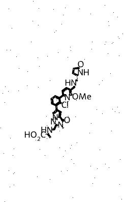 COc1nc(-c2cccc(-c3cc4c(=O)n(C)c(CN[C@H](C)C(=O)O)nn4c3)c2Cl)ccc1CNC[C@@H]1CCC(=O)N1